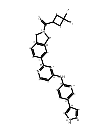 O=C(C1CC(F)(F)C1)N1Cc2ccc(-c3nccc(Nc4ccc(-c5cn[nH]c5)cn4)n3)cc2C1